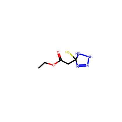 CCOC(=O)CC1(S)N=NNN1